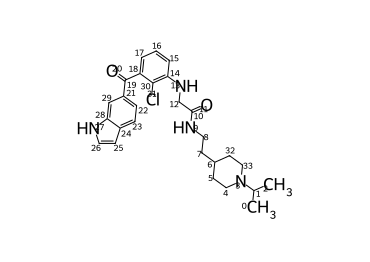 CC(C)N1CCC(CCNC(=O)CNc2cccc(C(=O)c3ccc4cc[nH]c4c3)c2Cl)CC1